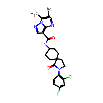 CC(=O)c1cnc2c(C(=O)NC3CCC4(CC3)CCN(c3ccc(F)cc3Cl)C4=O)cnn2c1C